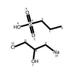 CCCS(=O)(=O)O.OC([CH2][Na])CCl